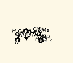 COc1cc(C(=O)N2[C@H]3CC[C@@H]2[C@H](N)C3)cc2nc(-c3cc4ccc([C@@H](C)NC(=O)c5ccncc5)nc4n3CC3CC3)c(C)n12